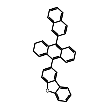 C1=c2c(-c3ccc4ccccc4c3)c3ccccc3c(-c3ccc4oc5ccccc5c4c3)c2=CCC1